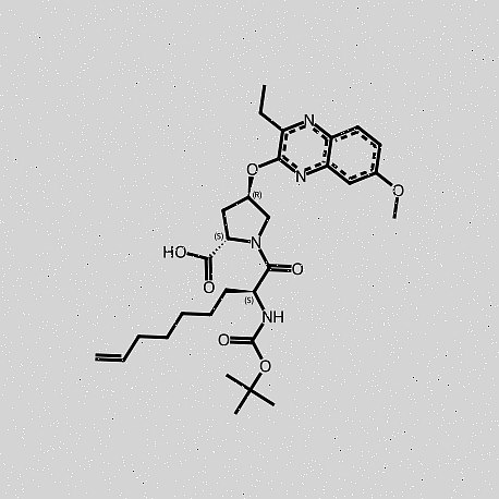 C=CCCCCC[C@H](NC(=O)OC(C)(C)C)C(=O)N1C[C@H](Oc2nc3cc(OC)ccc3nc2CC)C[C@H]1C(=O)O